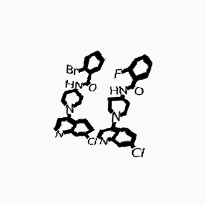 O=C(NC1CCN(c2ccnc3cc(Cl)ccc23)CC1)c1ccccc1Br.O=C(NC1CCN(c2ccnc3cc(Cl)ccc23)CC1)c1ccccc1F